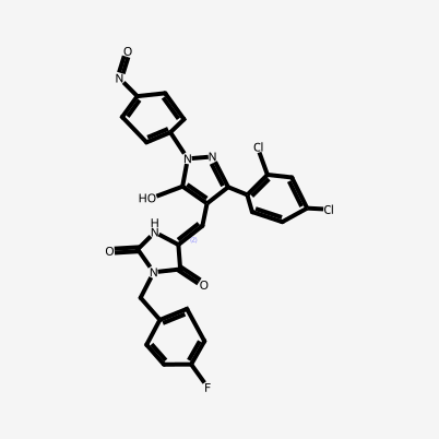 O=Nc1ccc(-n2nc(-c3ccc(Cl)cc3Cl)c(/C=C3\NC(=O)N(Cc4ccc(F)cc4)C3=O)c2O)cc1